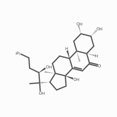 CC(C)CC[C@@H](O)C(C)(O)[C@H]1CC[C@@]2(O)C3=CC(=O)[C@@H]4C[C@@H](O)[C@@H](O)C[C@]4(C)[C@H]3CC[C@]12C